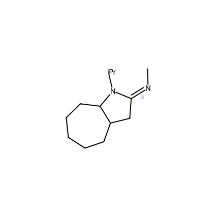 C/N=C1/CC2CCCCCC2N1C(C)C